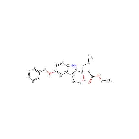 CCCC1(CC(=O)OCC)OCCc2c1[nH]c1ccc(OCc3ccccc3)cc21